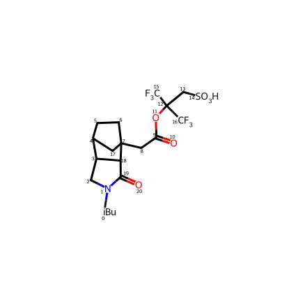 CCC(C)N1CC2C3CCC(CC(=O)OC(CS(=O)(=O)O)(C(F)(F)F)C(F)(F)F)(C3)C2C1=O